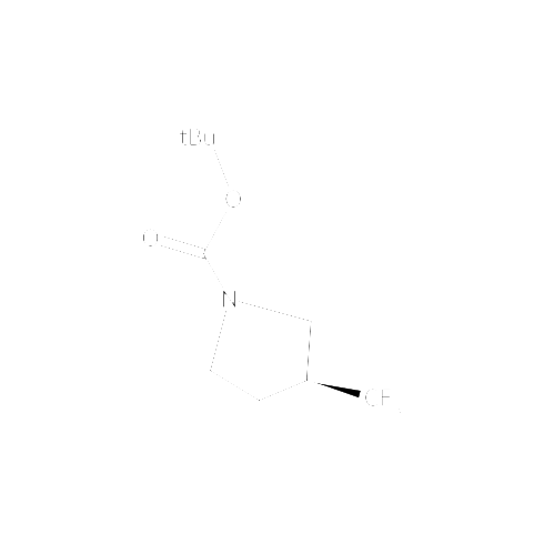 CC(C)(C)OC(=O)N1CC[C@H](C(F)(F)F)C1